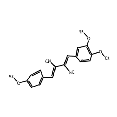 [C-]#[N+]C(=C\c1ccc(OCC)cc1)/C(=C/c1ccc(OCC)c(OCC)c1)[N+]#[C-]